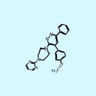 COc1ccc(-c2cc(-c3ccccc3)nnc2N2CCN(c3ncccn3)CC2)cc1